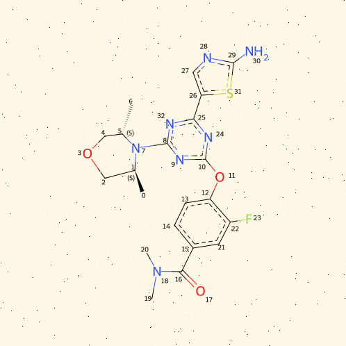 C[C@H]1COC[C@H](C)N1c1nc(Oc2ccc(C(=O)N(C)C)cc2F)nc(-c2cnc(N)s2)n1